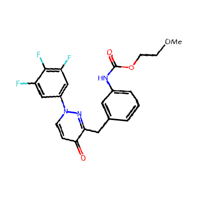 COCCOC(=O)Nc1cccc(Cc2nn(-c3cc(F)c(F)c(F)c3)ccc2=O)c1